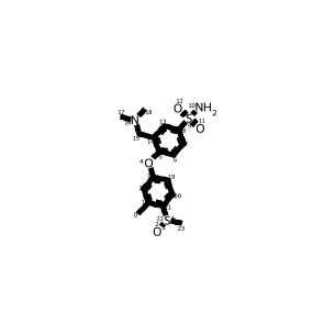 Cc1cc(Oc2ccc(S(N)(=O)=O)cc2CN(C)C)ccc1[S+](C)[O-]